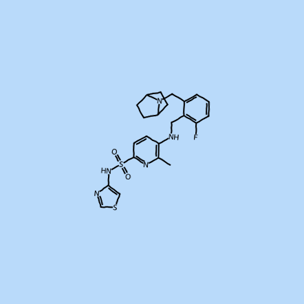 Cc1nc(S(=O)(=O)Nc2cscn2)ccc1NCc1c(F)cccc1CN1C2CCC1CC2